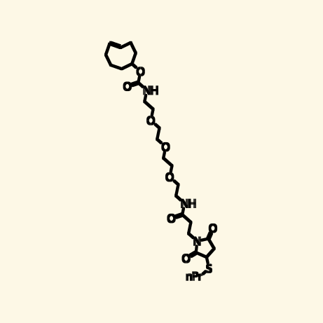 CCCSC1CC(=O)N(CCC(=O)NCCOCCOCCOCCNC(=O)OC2CC/C=C/CCC2)C1=O